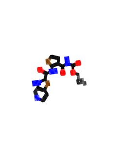 O=C(NC(=O)c1ccsc1NC(=O)C1Nc2cnccc2S1)OCC(F)(F)F